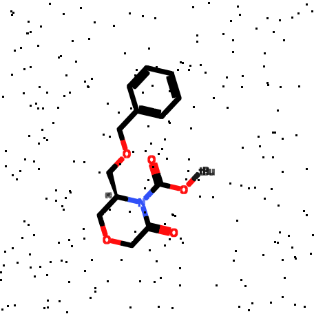 CC(C)(C)OC(=O)N1C(=O)COC[C@H]1COCc1ccccc1